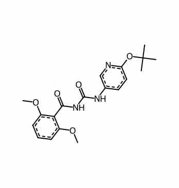 COc1cccc(OC)c1C(=O)NC(=O)Nc1ccc(OC(C)(C)C)nc1